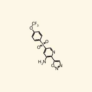 Nc1cc(S(=O)(=O)c2ccc(OC(F)(F)F)cc2)cnc1-c1cnno1